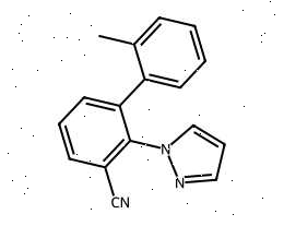 Cc1ccccc1-c1cccc(C#N)c1-n1cccn1